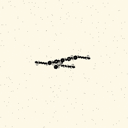 C=CC(=O)OCCCCCCOc1ccc(OC(=O)C2CCC(COc3ccc(OCC4CCC(C(=O)Oc5ccc(OCCCCCCOC(=O)C=C)cc5)CC4)c(/C=N/N(CCOCCOCCOC(=O)C=C)C4Nc5ccccc5S4)c3)CC2)cc1